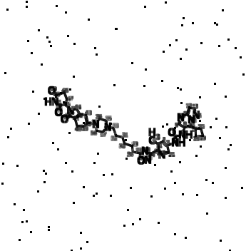 Cc1cc(NC(=O)Nc2cnc3ccnn3c2C2CCC2)cnc1-c1noc(CCCCCCN2CCN(c3ccc4c(c3)CN(C3CCC(=O)NC3=O)C4=O)CC2)n1